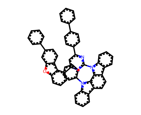 c1ccc(-c2ccc(-c3cc(-c4cccc5oc6cc(-c7ccccc7)ccc6c45)nc(-n4c5ccccc5c5ccc6c7ccccc7n(-c7ccccc7)c6c54)n3)cc2)cc1